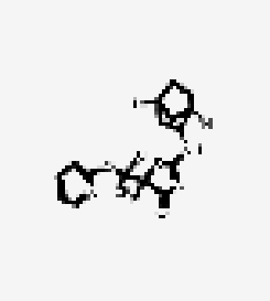 CC1(C(Oc2ccccn2)(C(F)(F)F)C(F)(F)F)SC(N[C@H]2C[C@@H]3CC[C@H]2C3)=NC1=O